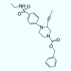 CC#CC1CN(C(=O)OCc2ccccc2)CCN1c1ccc(S(=O)(=O)NCC)cc1